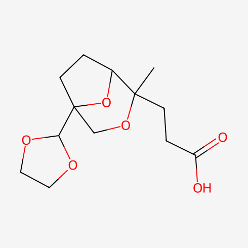 CC1(CCC(=O)O)OCC2(C3OCCO3)CCC1O2